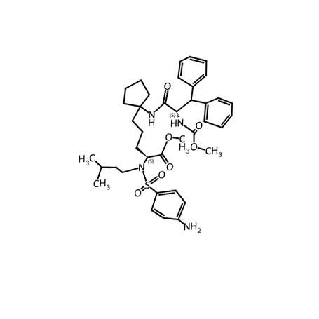 COC(=O)N[C@H](C(=O)NC1(CCC[C@@H](C(=O)OC)N(CCC(C)C)S(=O)(=O)c2ccc(N)cc2)CCCC1)C(c1ccccc1)c1ccccc1